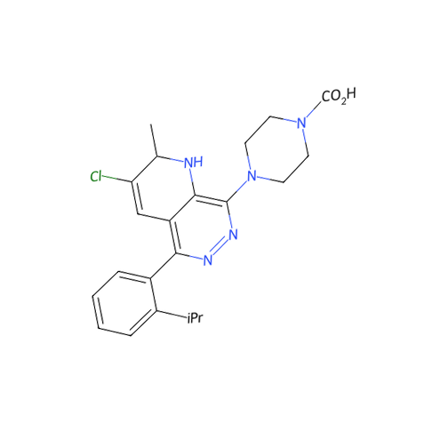 CC1Nc2c(N3CCN(C(=O)O)CC3)nnc(-c3ccccc3C(C)C)c2C=C1Cl